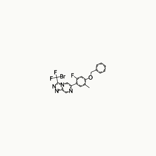 Cc1cc(-c2cn3c(C(F)(F)Br)nnc3cn2)c(F)cc1OCc1ccccc1